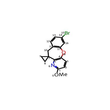 COc1ccc2c(n1)C1(CC1)Cc1ccc(Br)cc1O2